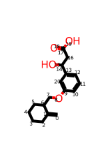 C=C1CCCCC1COc1cccc(C(O)CC(=O)O)c1